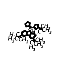 CC(C)(C)C1=CC[C]([Zr](=[C]2CCCC2)[CH]2c3ccc(C(C)(C)C)cc3-c3cc(C(C)(C)C)ccc32)=C1